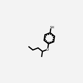 CCCC(C)Oc1ccc(S)cc1